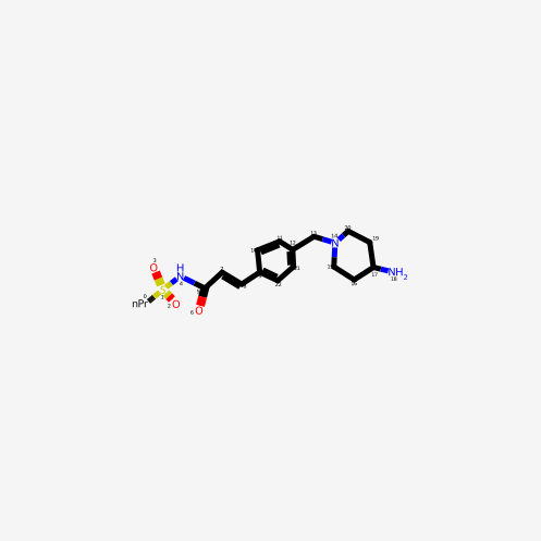 CCCS(=O)(=O)NC(=O)/C=C/c1ccc(CN2CCC(N)CC2)cc1